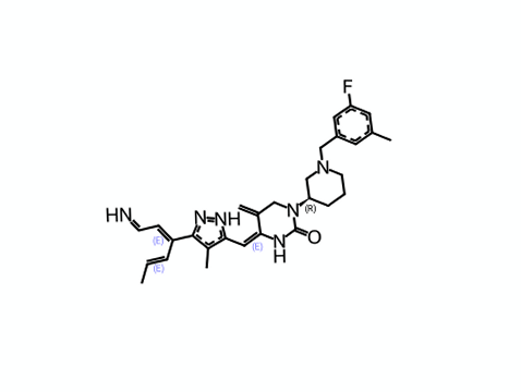 C=C1CN([C@@H]2CCCN(Cc3cc(C)cc(F)c3)C2)C(=O)N/C1=C/c1[nH]nc(C(/C=C/C)=C/C=N)c1C